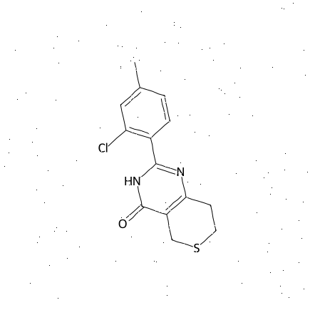 Cc1ccc(-c2nc3c(c(=O)[nH]2)CSCC3)c(Cl)c1